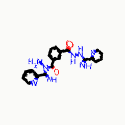 N=C(NNC(=O)c1cccc(C(=O)N(N)C(=N)c2ccccn2)c1)c1ccccn1